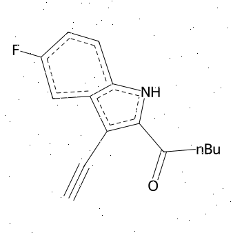 C#Cc1c(C(=O)CCCC)[nH]c2ccc(F)cc12